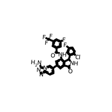 Nc1nnc2ccc(-c3cc(NC(=O)c4cc(F)cc(C(F)(F)F)c4)c4c(c3)C(=O)NC4c3cc(F)ccc3Cl)cn12